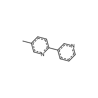 Cc1ccc(-c2cccnc2)nc1